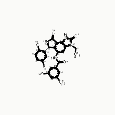 O=C(Nc1cc2c([nH]c(=O)n2CC(F)(F)F)c2c1[C@H](c1cc(F)ccc1Cl)NC2=O)c1cc(F)cc(C(F)(F)F)c1